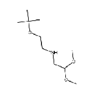 COC(CNCCOC(C)(C)C)OC